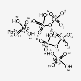 O=S(=O)(O)[O][Cr](=[O])(=[O])[O-].O=S(=O)(O)[O][Cr](=[O])(=[O])[O-].[O]=[Mo](=[O])([OH])[OH].[O]=[Mo](=[O])([OH])[OH].[Pb+2]